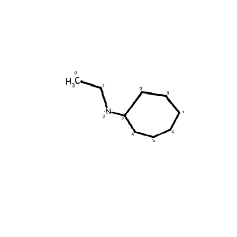 CC[N]C1CCCCCC1